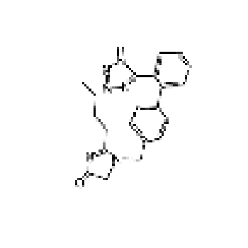 CCCCC1=NC(=O)CN1Cc1ccc(-c2ccccc2-c2nnn[nH]2)cc1